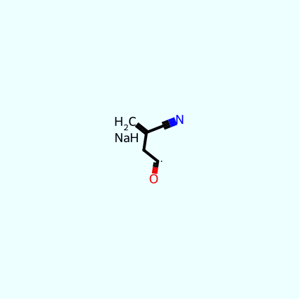 C=C(C#N)C[C]=O.[NaH]